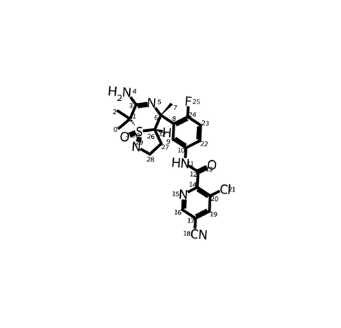 CC1(C)C(N)=N[C@](C)(c2cc(NC(=O)c3ncc(C#N)cc3Cl)ccc2F)[C@@H]2CCN=[S@@]21=O